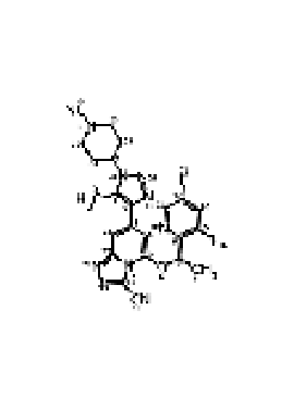 Cc1c(-c2cc(OC(C)c3ncc(F)cc3F)n3c(C#N)cnc3c2)nnn1C1CCN(C#N)CC1